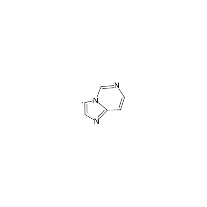 [c]1cnc2ccncn12